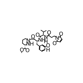 COC(=O)[C@@H]1CCCN(C2OC2[C@H](Cc2cccc(O)c2)NC(=O)[C@@H](NC(=O)CCN2C(=O)C=CC2=O)C(C)C)N1